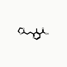 Cc1c(C(=O)O)ccnc1CCC1OCCO1